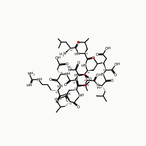 CC(C)C[C@H](NC(=O)[C@H](CCC(N)=O)NC(=O)[C@H](CC(N)=O)NC(=O)[C@H](CC(C)C)NC(=O)[C@H](CCCNC(=N)N)NC(=O)[C@H](CC(=O)O)NC(=O)[C@H](CC(C)C)NC(=O)[C@H](CC(C)C)NC(=O)[C@H](CC(C)C)NC(=O)[C@@H](N)CC(C)C)C(=O)N[C@@H](CCC(=O)O)C(=O)O